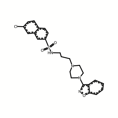 O=S(=O)(NCCCN1CCN(c2noc3ccccc23)CC1)c1ccc2ccc(Cl)cc2c1